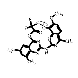 COc1ccc2c(C)nc(Nc3nc(OC(=O)C(F)(F)F)c4cc(C)cc(C)c4n3)nc2c1OC